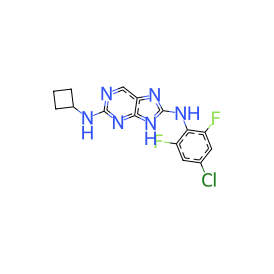 Fc1cc(Cl)cc(F)c1Nc1nc2cnc(NC3CCC3)nc2[nH]1